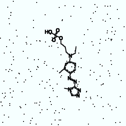 CCN(CCCOS(=O)(=O)O)c1ccc(N=Nc2nncn2C)c(C)c1